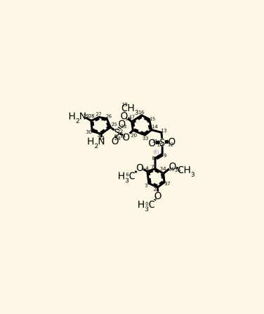 COc1cc(OC)c(/C=C/S(=O)(=O)Cc2ccc(OC)c(OS(=O)(=O)c3ccc(N)cc3N)c2)c(OC)c1